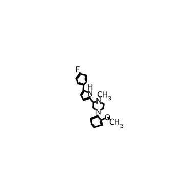 COc1ccccc1N1CCN(C)C(c2ccc(-c3ccc(F)cc3)[nH]2)C1